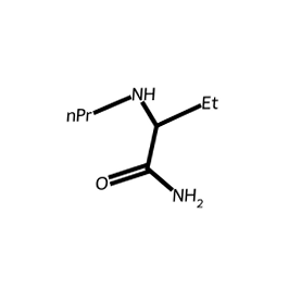 CCCNC(CC)C(N)=O